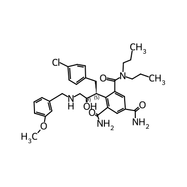 CCCN(CCC)C(=O)c1cc(C(N)=O)cc(C(N)=O)c1[C@H](Cc1ccc(Cl)cc1)[C@@H](O)CNCc1cccc(OC)c1